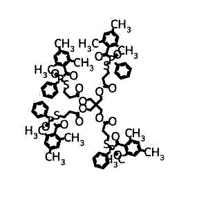 Cc1cc(C)c(C(=O)P(=O)(SCCC(=O)OCC(COC(=O)CCSP(=O)(C(=O)c2c(C)cc(C)cc2C)c2ccccc2)(COC(=O)CCSP(=O)(C(=O)c2c(C)cc(C)cc2C)c2ccccc2)COC(=O)CCSP(=O)(C(=O)c2c(C)cc(C)cc2C)c2ccccc2)c2ccccc2)c(C)c1